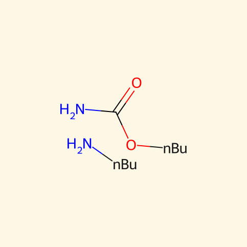 CCCCN.CCCCOC(N)=O